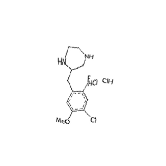 COc1cc(CC2CNCCN2)c(F)cc1Cl.Cl.Cl